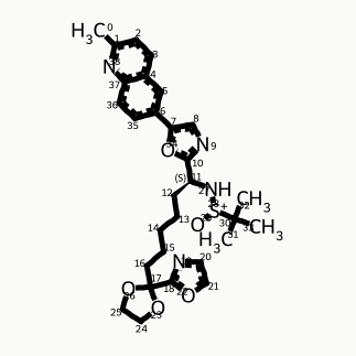 Cc1ccc2cc(-c3cnc([C@H](CCCCCC4(c5ncco5)OCCO4)N[S+]([O-])C(C)(C)C)o3)ccc2n1